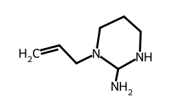 C=CCN1CCCNC1N